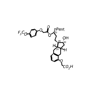 CCCCC[C@@H](CC[C@@H]1[C@H]2Cc3cccc(OCC(=O)O)c3C[C@H]2C[C@H]1O)OC(=O)COc1ccc(OC(F)(F)F)cc1